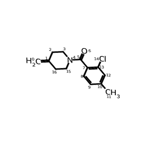 C=C1CCN(C(=O)c2ccc(C)cc2Cl)CC1